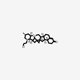 C[C@H]1C[C@H]2O[C@@]34CC[C@H]5[C@@H]6CCC7=CC(=O)CC[C@]7(C)[C@H]6CC56CC63C[C@@H]4[C@@H]2N(CCCl)C1